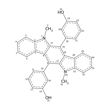 Cn1c2ccccc2c2c(-c3cccc(O)c3)c3c(c(-c4cccc(O)c4)c21)c1ccccc1n3C